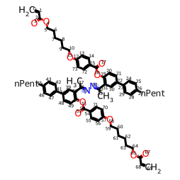 C=CC(=O)OCCCCCCOc1ccc(C(=O)Oc2ccc(-c3ccc(CCCCC)cc3)cc2/C(C)=N/N=C(\C)c2cc(-c3ccc(CCCCC)cc3)ccc2OC(=O)c2ccc(OCCCCCCOC(=O)C=C)cc2)cc1